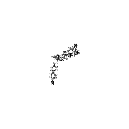 CC(O)(CN1CC(CCc2ccc(-c3ccc(C#N)cc3)cc2)C2CC2C1)C(=O)Nc1ccc(C#N)c(C(F)(F)F)c1